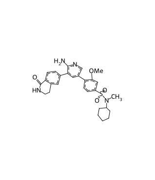 COc1cc(S(=O)(=O)N(C)C2CCCCC2)ccc1-c1cnc(N)c(-c2ccc3c(c2)CCNC3=O)c1